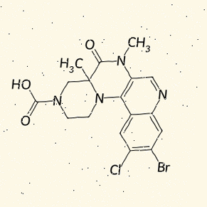 CN1C(=O)C2(C)CN(C(=O)O)CCN2c2c1cnc1cc(Br)c(Cl)cc21